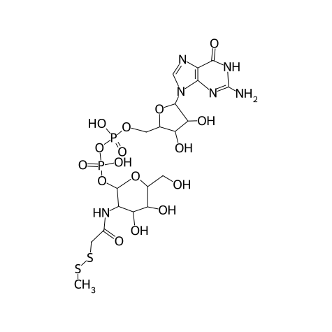 CSSCC(=O)NC1C(OP(=O)(O)OP(=O)(O)OCC2OC(n3cnc4c(=O)[nH]c(N)nc43)C(O)C2O)OC(CO)C(O)C1O